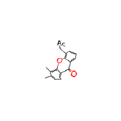 CC(=O)Cc1cccc2c(=O)c3ccc(C)c(C)c3oc12